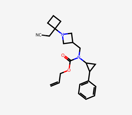 C=CCOC(=O)N(CC1CN(C2(CC#N)CCC2)C1)C1CC1c1ccccc1